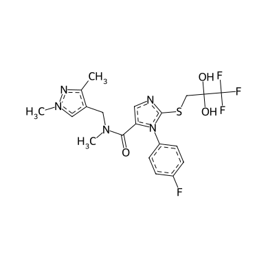 Cc1nn(C)cc1CN(C)C(=O)c1cnc(SCC(O)(O)C(F)(F)F)n1-c1ccc(F)cc1